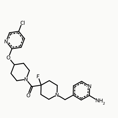 Nc1cc(CN2CCC(F)(C(=O)N3CCC(Oc4ccc(Cl)cn4)CC3)CC2)ccn1